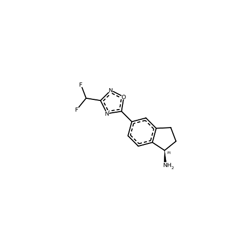 N[C@@H]1CCc2cc(-c3nc(C(F)F)no3)ccc21